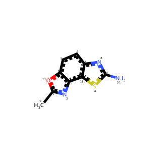 Cc1nc2c(ccc3nc(N)sc32)o1